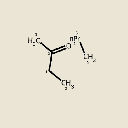 CCC(C)=O.CCCC